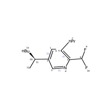 C\C=C(/C=N\C(=C\CCC)C(F)F)[C@@H](C)CCCC